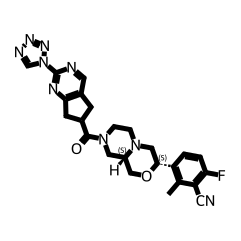 Cc1c([C@H]2CN3CCN(C(=O)C4Cc5cnc(-n6cnnn6)nc5C4)C[C@H]3CO2)ccc(F)c1C#N